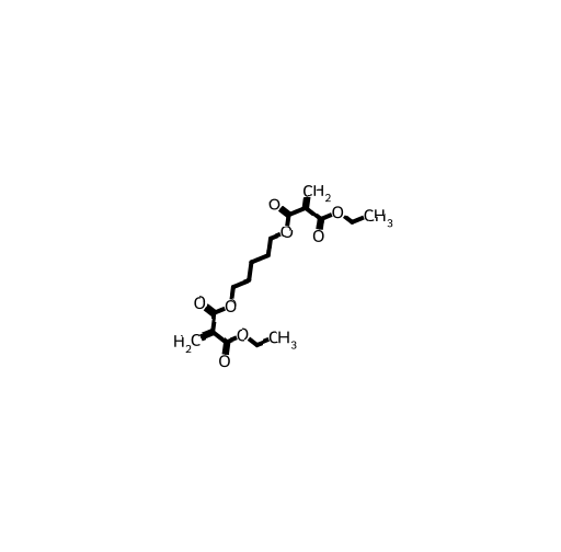 C=C(C(=O)OCC)C(=O)OCCCCCOC(=O)C(=C)C(=O)OCC